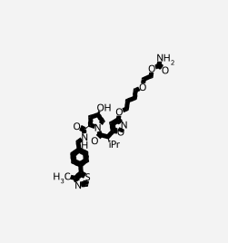 Cc1ncsc1-c1ccc(CNC(=O)[C@@H]2C[C@@H](O)CN2C(=O)[C@H](c2cc(OCCCCOCCOC(N)=O)no2)C(C)C)cc1